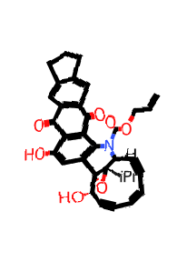 C=CCOC(=O)N1c2c(cc(O)c3c2C(=O)c2cc4c(cc2C3=O)CCC4)[C@@]23O[C@@]2(C(C)C)[C@@H]1C#C/C=C\C#C[C@@H]3O